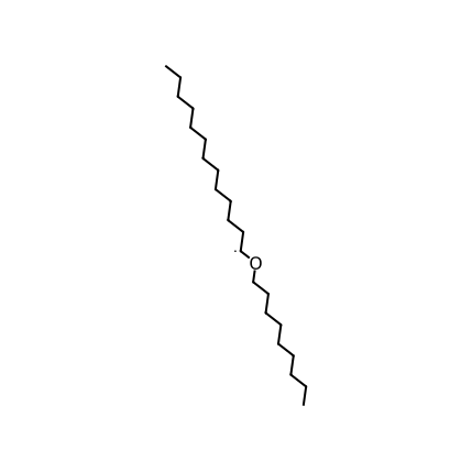 CCCCCCCCCCCC[CH]OCCCCCCCCC